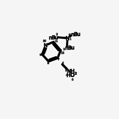 CCCCN(CCCC)CCCC.CN.[OH].c1ccncc1